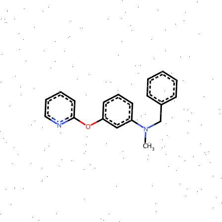 CN(Cc1ccccc1)c1cccc(Oc2ccccn2)c1